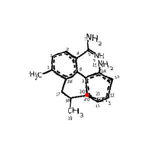 [CH2]c1ccc(C(=N)N)c(-c2ccccc2N)c1CC(C)CC